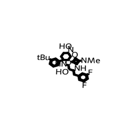 CNc1c(NC(Cc2cc(F)cc(F)c2)C(O)CNC2(c3cccc(C(C)(C)C)c3)CCC(=NO)CC2)c(=O)c1=O